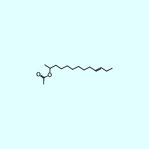 CCC=CCCCCCCCC(C)OC(C)=O